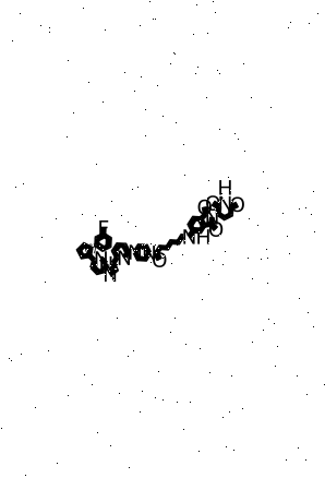 O=C1CCC(N2C(=O)c3ccc(NCCCCCC(=O)N4CCN(c5cccc(-c6cnc7ccc(C8CCC[C@@H]8c8cccc(F)c8)nn67)n5)CC4)cc3C2=O)C(=O)N1